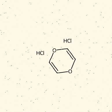 C1=COC=CO1.Cl.Cl